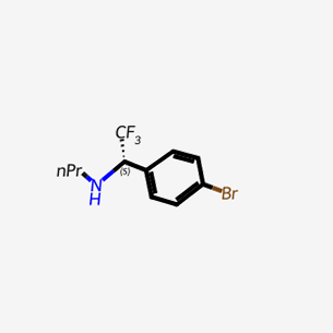 CCCN[C@@H](c1ccc(Br)cc1)C(F)(F)F